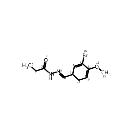 CCC(=O)N/N=C/C1C=C(Br)C(OC)=CC1